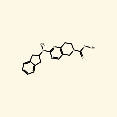 CN(c1ncc2c(n1)CCN(C(=O)OC(C)(C)C)C2)C1Cc2ccccc2C1